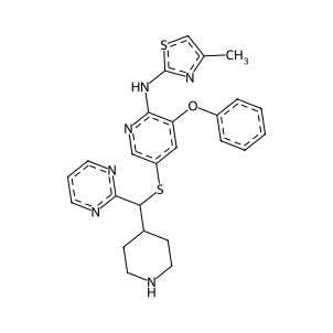 Cc1csc(Nc2ncc(SC(c3ncccn3)C3CCNCC3)cc2Oc2ccccc2)n1